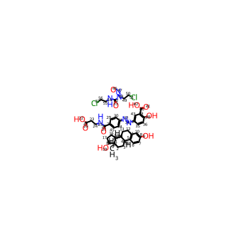 C[C@]12CC[C@@H]3c4ccc(O)cc4CC[C@H]3[C@@H]1CC[C@@H]2O.O=C(O)CCNC(=O)c1ccc(/N=N/c2ccc(O)c(C(=O)O)c2)cc1.O=NN(CCCl)C(=O)NCCCl